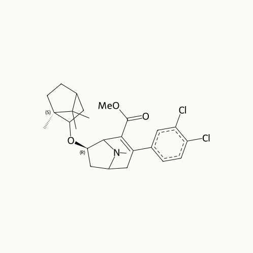 COC(=O)C1=C(c2ccc(Cl)c(Cl)c2)CC2C[C@@H](OC3CC4CC[C@@]3(C)C4(C)C)C1N2C